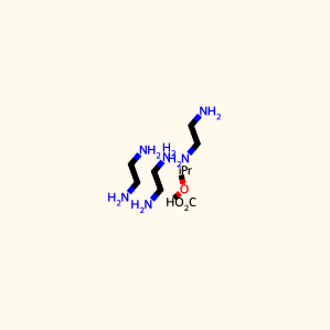 CC(C)OC(=O)O.NCCN.NCCN.NCCN